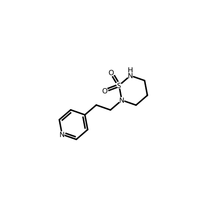 O=S1(=O)NCCCN1CCc1ccncc1